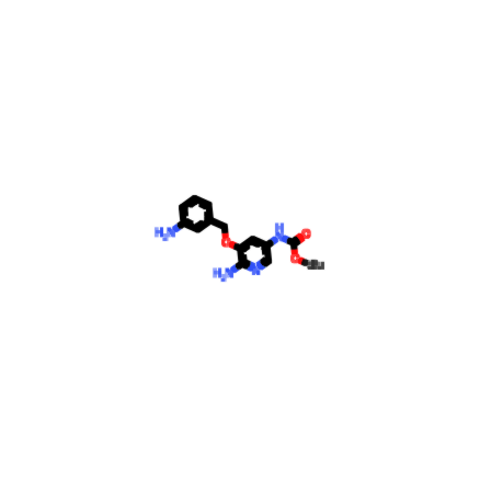 CC(C)(C)OC(=O)Nc1cnc(N)c(OCc2cccc(N)c2)c1